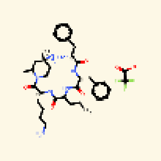 CC1CC(N)(C(=O)O)CCN1C(=O)[C@@H](CCCCN)NC(=O)C(CCC(F)(F)F)NC(=O)[C@@H](Cc1ccccc1)NC(=O)[C@H](N)Cc1ccccc1.O=C(O)C(F)(F)F